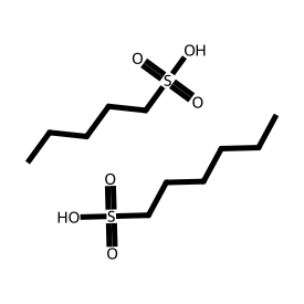 CCCCCCS(=O)(=O)O.CCCCCS(=O)(=O)O